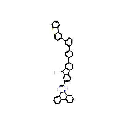 CC1(C)c2cc(-c3ccc(-c4cccc(-c5ccc6sc7ccccc7c6c5)c4)cc3)ccc2-c2ccc(-c3cnc4c5ccccc5c5ccccc5c4n3)cc21